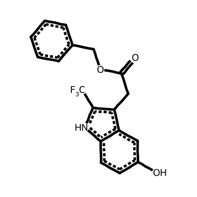 O=C(Cc1c(C(F)(F)F)[nH]c2ccc(O)cc12)OCc1ccccc1